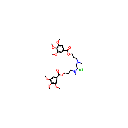 COc1cc(C(=O)OCCCN(C)CCN(C)CCCOC(=O)c2cc(OC)c(OC)c(OC)c2)cc(OC)c1OC.Cl